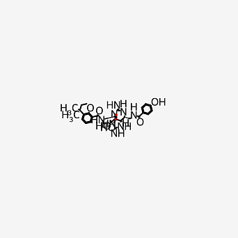 CC1(C)CCOc2c(C(=O)N[C@H]3CN4C(=N)N[C@@H](CNC(=O)c5ccc(O)cc5)[C@@H]5NC(=N)N[C@@]54C3(O)O)cccc21